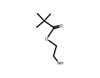 CC(C)(C)C(=O)OCC[NH]